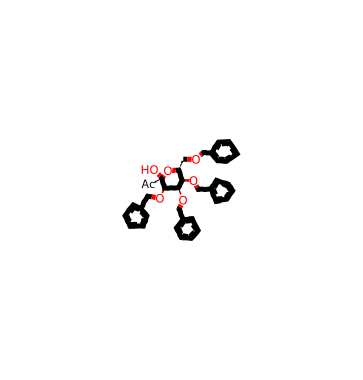 CC(=O)[C@]1(O)O[C@H](COCc2ccccc2)[C@@H](OCc2ccccc2)[C@H](OCc2ccccc2)[C@@H]1OCc1ccccc1